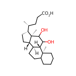 C[C@H](CCC(=O)O)[C@H]1CC[C@H]2[C@@H]3CCC4CCCC[C@]4(C)[C@H]3C(O)C(O)[C@]12C